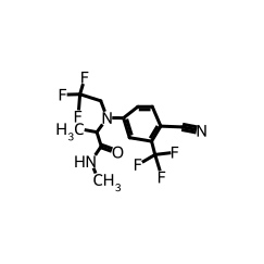 CNC(=O)C(C)N(CC(F)(F)F)c1ccc(C#N)c(C(F)(F)F)c1